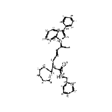 CC(CCCC(C(=O)NCc1ccccn1)C1CCCCCC1)n1cc(-c2ccccc2)c2cccnc21